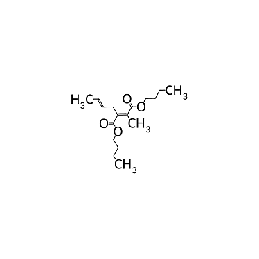 CC=CCC(C(=O)OCCCC)=C(C)C(=O)OCCCC